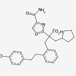 NC(=O)c1coc(C(Cc2ccccc2CCc2ccc(Cl)cc2)(CC2CCCC2)C(=O)O)n1